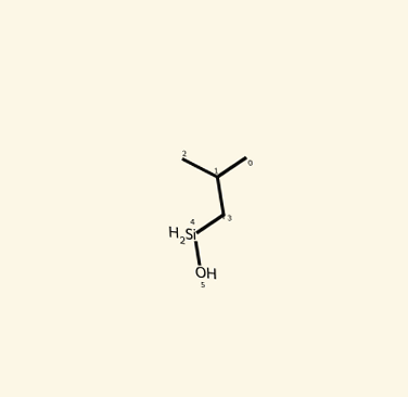 CC(C)[CH][SiH2]O